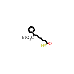 CCOC(=O)C(CCCCCC(=O)S)c1ccccc1